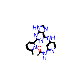 CC(=O)Nc1cc(Nc2nc(-c3cccc(C)n3)nc3[nH]cnc23)ccn1